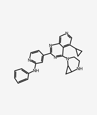 c1ccc(Nc2cc(-c3nc(N4CCNC5CC54)c4c(C5CC5)cncc4n3)ccn2)cc1